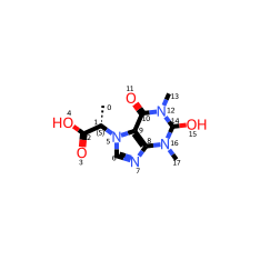 C[C@@H](C(=O)O)n1cnc2c1C(=O)N(C)C(O)N2C